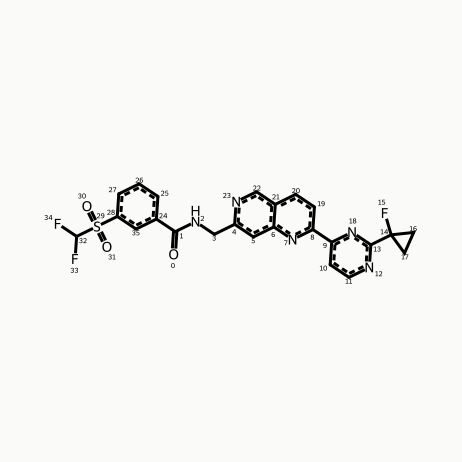 O=C(NCc1cc2nc(-c3ccnc(C4(F)CC4)n3)ccc2cn1)c1cccc(S(=O)(=O)C(F)F)c1